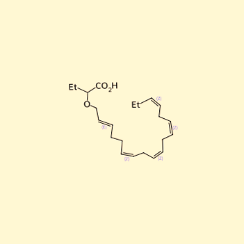 CC/C=C\C/C=C\C/C=C\C/C=C\CC/C=C/COC(CC)C(=O)O